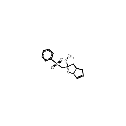 COC1(CS(=O)(=O)c2ccccc2)CC2CC=CC2O1